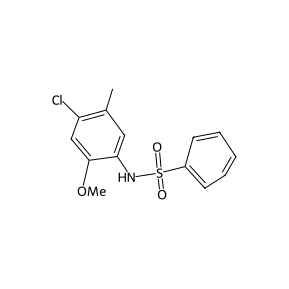 COc1cc(Cl)c(C)cc1NS(=O)(=O)c1ccccc1